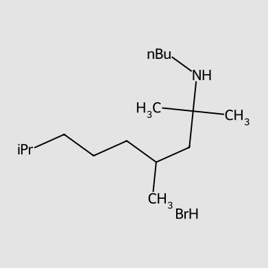 Br.CCCCNC(C)(C)CC(C)CCCC(C)C